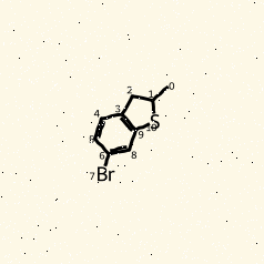 CC1Cc2ccc(Br)cc2S1